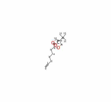 C#CCCCCC12OCC(C(C)(C)C)(CO1)CO2